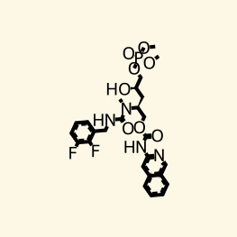 COP(=O)(OC)OC[C@H](O)C[C@@H](COC(=O)Nc1cc2ccccc2cn1)N(C)C(=O)NCc1cccc(F)c1F